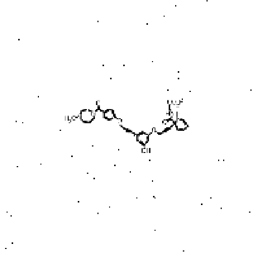 CN1CCCN(C(=O)c2ccc(OCC#Cc3cc(O)cc(OCC#CC4(C(=O)NCC(=O)O)C=CC=CN4)c3)cc2)CC1